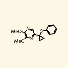 COc1ncc(C2(Sc3ccccc3)CC2)nc1OC